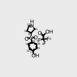 O=C(O)C(F)(F)F.O=S(=O)(c1ccc(O)cc1)[C@H]1CCNC1